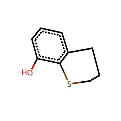 Oc1cccc2c1SCCC2